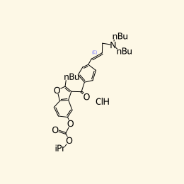 CCCCc1oc2ccc(OC(=O)OC(C)C)cc2c1C(=O)c1ccc(/C=C/CN(CCCC)CCCC)cc1.Cl